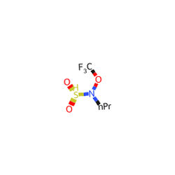 [CH2]CCN(OC(F)(F)F)[SH](=O)=O